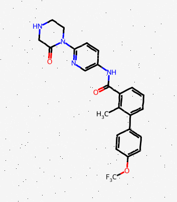 Cc1c(C(=O)Nc2ccc(N3CCNCC3=O)nc2)cccc1-c1ccc(OC(F)(F)F)cc1